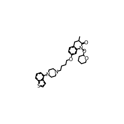 CC1Cc2ccc(OCCCCN3CCN(c4cccc5sccc45)CC3)cc2N(OC2CCCCO2)C1=O